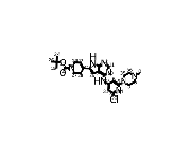 CN1CCN(c2cc(Nc3ncnc4[nH]c(C5=CCN(C(=O)OC(C)(C)C)CC5)cc34)cc(Cl)n2)CC1